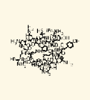 CC[C@H](C)[C@H](NC(=O)[C@@H]1C[C@@H](O)CN1C(=O)[C@@H](N)C(C)C)C(=O)N[C@H](C(=O)N[C@@H](Cc1ccc(O)cc1)C(=O)N[C@@H](CCN)C(=O)N[C@@H](CC(N)=O)C(=O)N[C@@H](CCCNC(=N)N)C(=O)N[C@@H](CCN)C(=O)N[C@H](C(=O)N[C@H](CCN)C(=O)N[C@@H](CCCCN)C(=O)N[C@H](C(=O)N[C@@H](CC(N)=O)C(=O)N[C@@H](CS)C(=O)N[C@@H](Cc1ccc(O)cc1)C(=O)O)[C@@H](C)O)[C@@H](C)O)C(C)(C)S